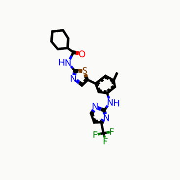 Cc1cc(Nc2nccc(C(F)(F)F)n2)cc(-c2cnc(NC(=O)C3CCCCC3)s2)c1